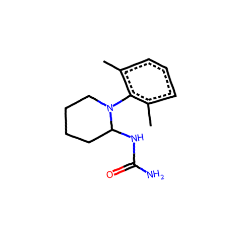 Cc1cccc(C)c1N1CCCCC1NC(N)=O